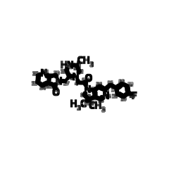 C[C@@H]1CN(CC(=O)N2CC(C)(C)c3cnc(Cc4ccc(F)cc4)cc32)[C@@H](CN2Cc3ncccc3C2=O)CN1